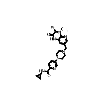 CCC1C(=O)Nc2cc(CN3CCN(c4ccc(C(=O)NC5CC5)nc4)CC3)cnc2N1C